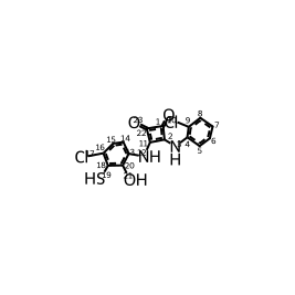 O=c1c(Nc2ccccc2Cl)c(Nc2ccc(Cl)c(S)c2O)c1=O